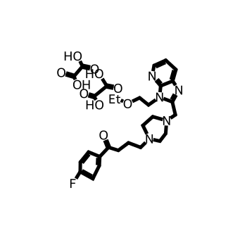 CCOCCn1c(CN2CCN(CCCC(=O)c3ccc(F)cc3)CC2)nc2cccnc21.O=C(O)C(=O)O.O=C(O)C(=O)O